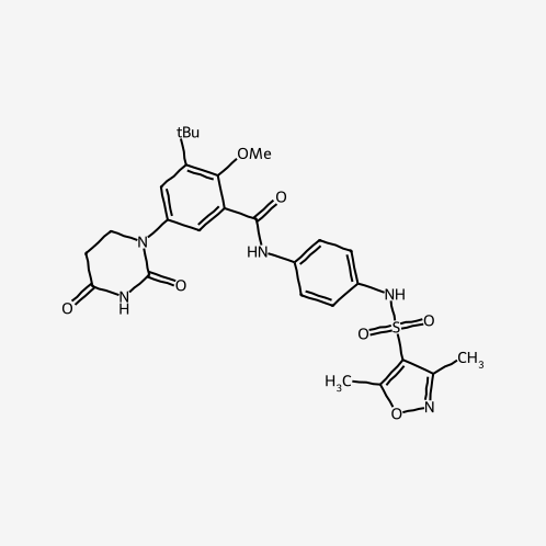 COc1c(C(=O)Nc2ccc(NS(=O)(=O)c3c(C)noc3C)cc2)cc(N2CCC(=O)NC2=O)cc1C(C)(C)C